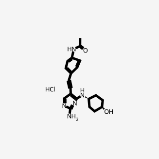 CC(=O)Nc1ccc(C#Cc2cnc(N)nc2N[C@H]2CC[C@H](O)CC2)cc1.Cl